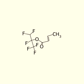 C/C=C/C(=O)OC(F)(C(F)F)C(F)(F)F